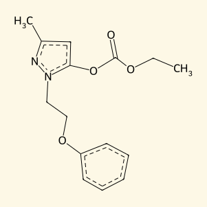 CCOC(=O)Oc1cc(C)nn1CCOc1ccccc1